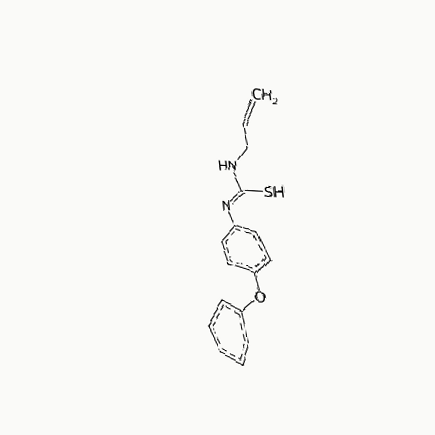 C=CCNC(S)=Nc1ccc(Oc2ccccc2)cc1